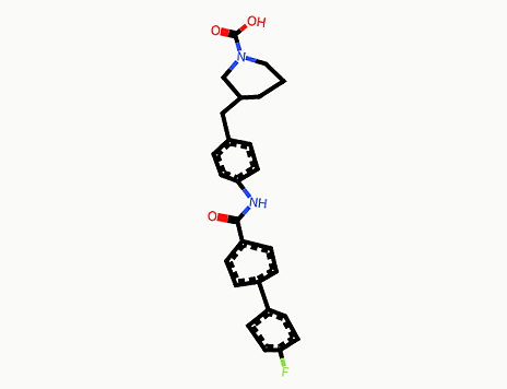 O=C(Nc1ccc(CC2CCCN(C(=O)O)C2)cc1)c1ccc(-c2ccc(F)cc2)cc1